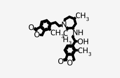 Cc1c(CCN2CCC(C)CC(NCC(O)c3ccc4c(c3C)COC4=O)C2C)ccc2c1COC2=O